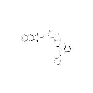 CC(C)C[C@H](N[C@H](CCN1C(=O)c2cc3ccccc3cc2C1=O)C(=O)O)C(=O)N[C@@H](Cc1ccccc1)C(=O)NCCN1CCOCC1